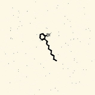 CCCCCCC/C=C/c1ccccc1Br